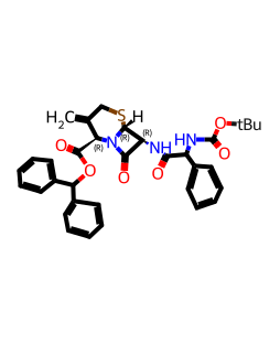 C=C1CS[C@@H]2[C@H](NC(=O)C(NC(=O)OC(C)(C)C)c3ccccc3)C(=O)N2[C@H]1C(=O)OC(c1ccccc1)c1ccccc1